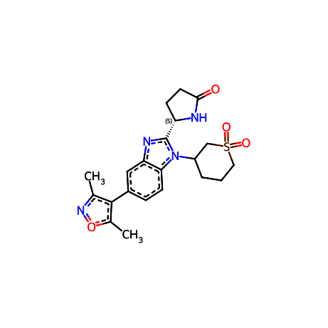 Cc1noc(C)c1-c1ccc2c(c1)nc([C@@H]1CCC(=O)N1)n2C1CCCS(=O)(=O)C1